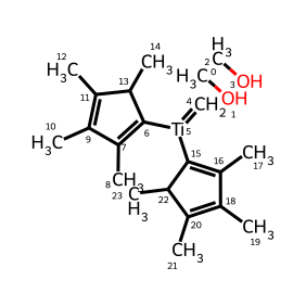 CO.CO.[CH2]=[Ti]([C]1=C(C)C(C)=C(C)C1C)[C]1=C(C)C(C)=C(C)C1C